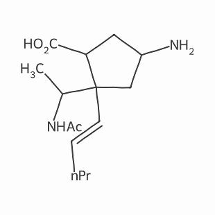 CCCC=CC1(C(C)NC(C)=O)CC(N)CC1C(=O)O